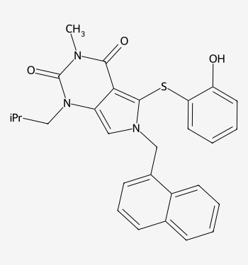 CC(C)Cn1c(=O)n(C)c(=O)c2c(Sc3ccccc3O)n(Cc3cccc4ccccc34)cc21